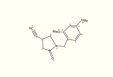 C#CC1CC(=O)N(Cc2ccc(OC)cc2OC)C1